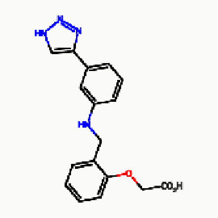 O=C(O)COc1ccccc1CNc1cccc(-c2c[nH]nn2)c1